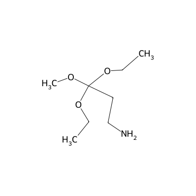 CCOC(CCN)(OC)OCC